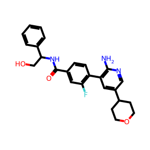 Nc1ncc(C2CCOCC2)cc1-c1ccc(C(=O)NC(CO)c2ccccc2)cc1F